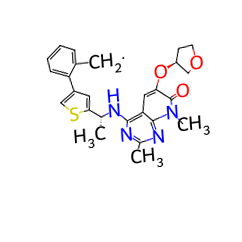 [CH2]c1ccccc1-c1csc([C@@H](C)Nc2nc(C)nc3c2cc(O[C@H]2CCOC2)c(=O)n3C)c1